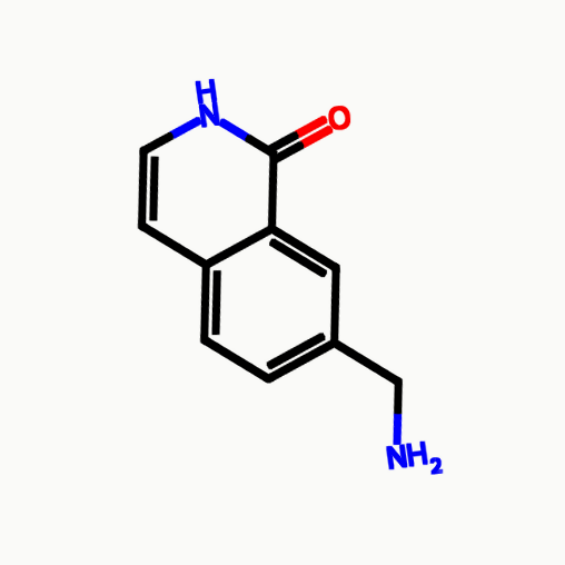 NCc1ccc2cc[nH]c(=O)c2c1